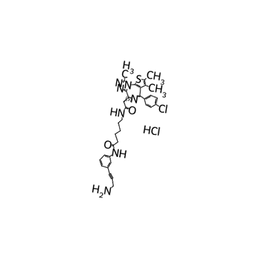 Cc1sc2c(c1C)C(c1ccc(Cl)cc1)=N[C@@H](CC(=O)NCCCCCC(=O)Nc1cccc(C#CCN)c1)c1nnc(C)n1-2.Cl